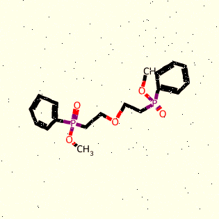 COP(=O)(CCOCCP(=O)(OC)c1ccccc1)c1ccccc1